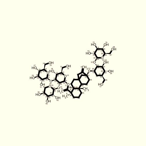 C=C1CC23CC[C@@H]4[C@](C)(C(=C)O[C@@H]5O[C@H](CO)[C@@H](O)[C@H](O[C@@H]6O[C@H](CO)[C@@H](O)[C@H](O)[C@H]6O)[C@H]5O[C@@H]5OC[C@H](O)[C@H](O)[C@H]5O)CCC[C@@]4(C)C2CC[C@]1(O[C@@H]1C[C@H](CO)[C@@H](O)[C@H](O)[C@H]1O[C@@H]1O[C@H](CO)[C@@H](O)[C@H](O)[C@H]1O)C3